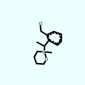 CC(c1ccccc1CCl)[Si]1(C)CCCCO1